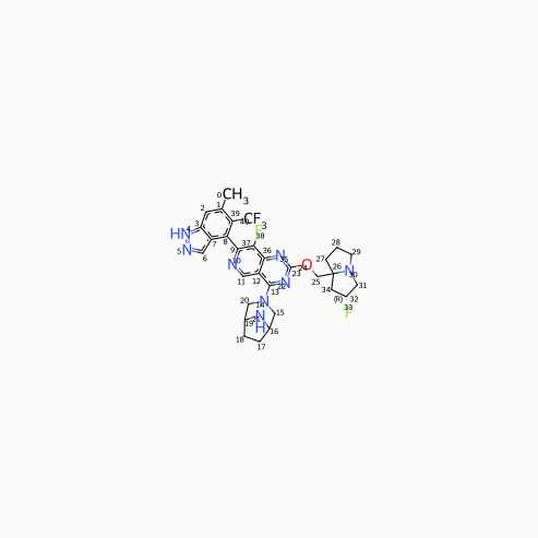 Cc1cc2[nH]ncc2c(-c2ncc3c(N4CC5CCC(C4)N5)nc(OCC45CCCN4C[C@H](F)C5)nc3c2F)c1C(F)(F)F